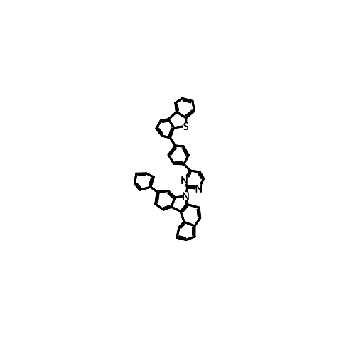 c1ccc(-c2ccc3c4c5ccccc5ccc4n(-c4nccc(-c5ccc(-c6cccc7c6sc6ccccc67)cc5)n4)c3c2)cc1